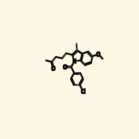 COc1ccc2c(c1)c(C)c(CCCC(C)=O)n2C(=O)c1ccc(Cl)cc1